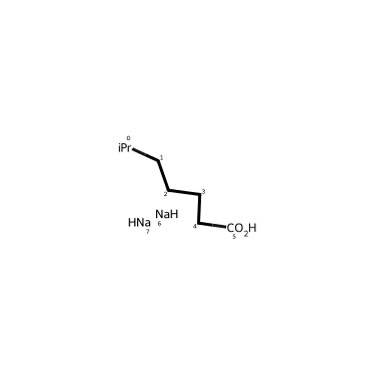 CC(C)CCCCC(=O)O.[NaH].[NaH]